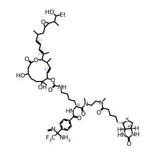 C=NC(N)(c1ccc(C(=O)N[C@@H](CCCCNC(=O)OC2/C=C/C(C)C(/C(C)=C/C=C/C(C)CC3OC3C(C)C(O)CC)OC(=O)CC(O)CCC2(C)O)C(=O)N(C)CCN(C)C(=O)CCCC[C@@H]2SC[C@@H]3NC(=O)N[C@@H]32)cc1)C(F)(F)F